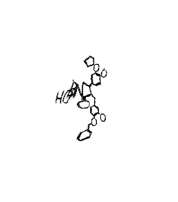 COc1cc(CC2C(=O)N(B(C)O)CC2c2ccc(OC)c(OC3CCCC3)c2)ccc1OCc1ccccc1